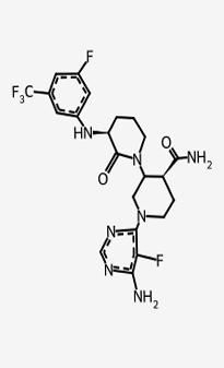 NC(=O)[C@H]1CCN(c2ncnc(N)c2F)CC1N1CCC[C@H](Nc2cc(F)cc(C(F)(F)F)c2)C1=O